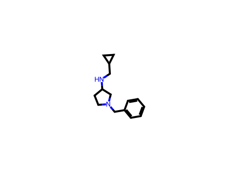 c1ccc(CN2CCC(NCC3CC3)C2)cc1